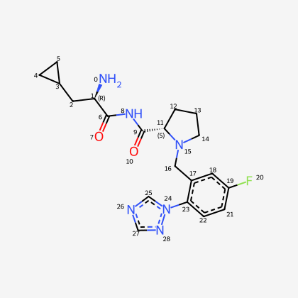 N[C@H](CC1CC1)C(=O)NC(=O)[C@@H]1CCCN1Cc1cc(F)ccc1-n1cncn1